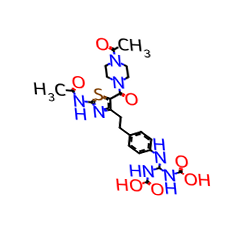 CC(=O)Nc1nc(CCc2ccc(NC(NC(=O)O)NC(=O)O)cc2)c(C(=O)N2CCN(C(C)=O)CC2)s1